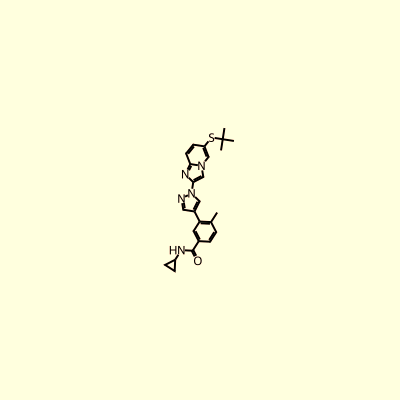 Cc1ccc(C(=O)NC2CC2)cc1-c1cnn(-c2cn3cc(SC(C)(C)C)ccc3n2)c1